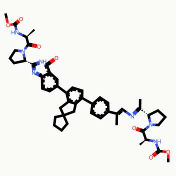 COC(=O)N[C@@H](C)C(=O)N1CCC[C@H]1/C(C)=N/C=C(\C)c1ccc(-c2ccc(-c3ccc4nc([C@@H]5CCCN5C(=O)[C@H](C)NC(=O)OC)[nH]c(=O)c4c3)c3c2CC2(CCCC2)C3)cc1